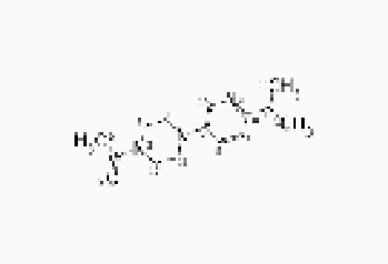 CC(=O)N1CCN(c2ccc(C(C)C)nc2)CC1